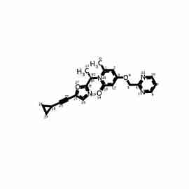 Cc1cc(OCc2ncccn2)cc(=O)n1[C@H](C)c1ncc(C#CC2CC2)o1